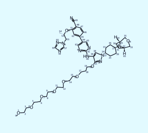 COCCOCCOCCOCCOCCOCCCOc1nn([C@H]2CC[C@H](N3[C@@H]4CC[C@H]3COC4)CC2)cc1Nc1ncc(-c2ccc(C#N)c(O[C@@H](C)Cn3cncn3)c2)cn1